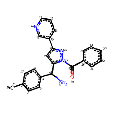 N#Cc1ccc(C(N)c2cc(-c3cccnc3)nn2C(=O)c2ccccc2)cc1